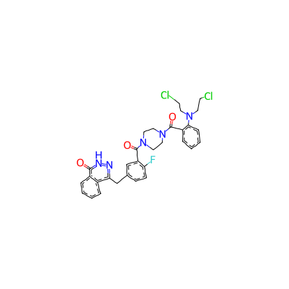 O=C(c1cc(Cc2n[nH]c(=O)c3ccccc23)ccc1F)N1CCN(C(=O)c2ccccc2N(CCCl)CCCl)CC1